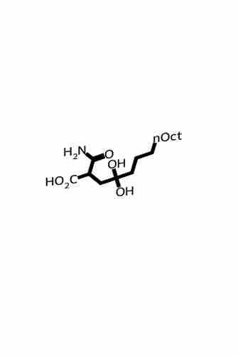 CCCCCCCCCCCC(O)(O)CC(C(N)=O)C(=O)O